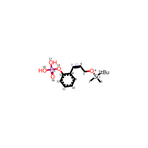 CC(C)(C)[Si](C)(C)OC/C=C\c1ccccc1OP(=O)(O)O